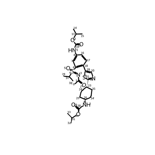 CC(=O)N=S(=O)(c1cc(NC(=O)OC(C)C)ccc1-c1cnc([C@H]2CC[C@H](NC(=O)OC(C)C)CC2)s1)C(C)C